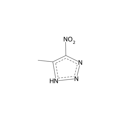 Cc1[nH]nnc1[N+](=O)[O-]